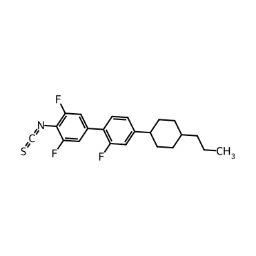 CCCC1CCC(c2ccc(-c3cc(F)c(N=C=S)c(F)c3)c(F)c2)CC1